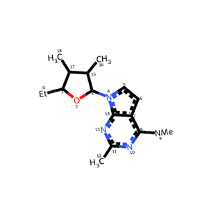 CCC1OC(n2ccc3c(NC)nc(C)nc32)C(C)C1C